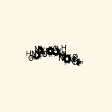 CC(C)(C)OC(=O)N1CCc2nc(C3COc4ccc(Oc5ccnc6c5CCC(=O)N6)cc4C3)[nH]c2C1